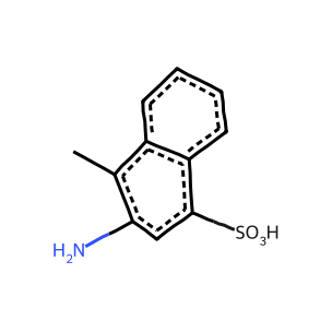 Cc1c(N)cc(S(=O)(=O)O)c2ccccc12